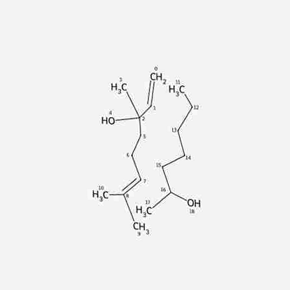 C=CC(C)(O)CCC=C(C)C.CCCCCC(C)O